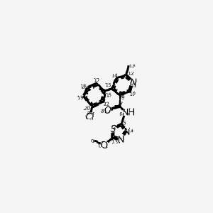 COc1nnc(NC(=O)c2cnc(C)cc2-c2cccc(Cl)c2)s1